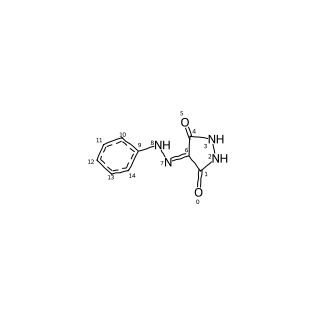 O=C1NNC(=O)C1=NNc1ccccc1